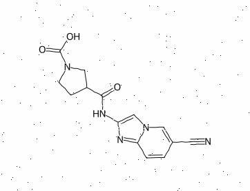 N#Cc1ccc2nc(NC(=O)C3CCN(C(=O)O)C3)cn2c1